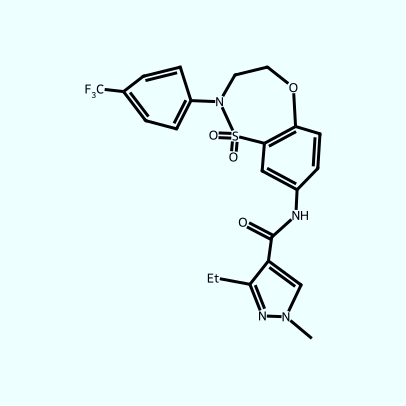 CCc1nn(C)cc1C(=O)Nc1ccc2c(c1)S(=O)(=O)N(c1ccc(C(F)(F)F)cc1)CCO2